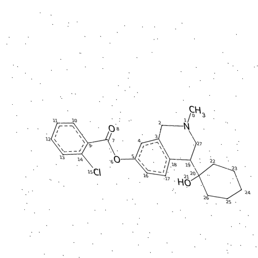 CN1Cc2cc(OC(=O)c3ccccc3Cl)ccc2C(C2(O)CCCCC2)C1